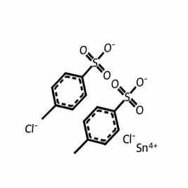 Cc1ccc(S(=O)(=O)[O-])cc1.Cc1ccc(S(=O)(=O)[O-])cc1.[Cl-].[Cl-].[Sn+4]